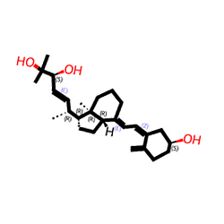 C=C1CC[C@H](O)C/C1=C/C=C1\CCC[C@]2(C)[C@@H]([C@H](C)/C=C/[C@H](O)C(C)(C)O)CC[C@@H]12